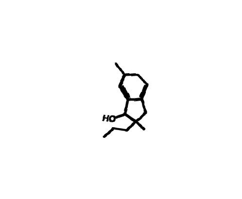 CCCC1(C)CC2=CCC(C)C=C2C1O